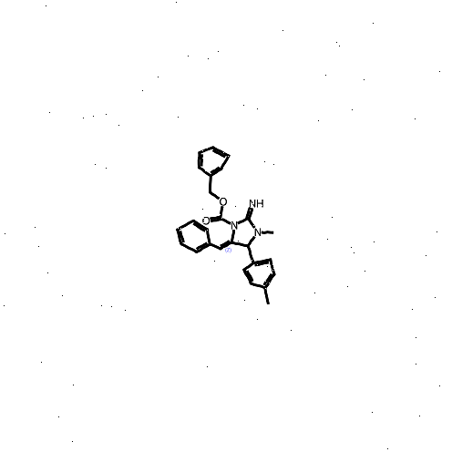 Cc1ccc(C2/C(=C/c3ccccc3)N(C(=O)OCc3ccccc3)C(=N)N2C)cc1